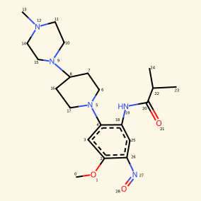 COc1cc(N2CCC(N3CCN(C)CC3)CC2)c(NC(=O)C(C)C)cc1N=O